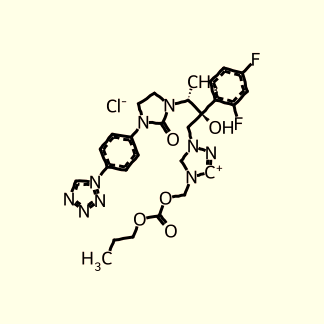 CCCOC(=O)OCN1[C+]=NN(C[C@@](O)(c2ccc(F)cc2F)[C@@H](C)N2CCN(c3ccc(-n4cnnn4)cc3)C2=O)C1.[Cl-]